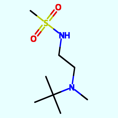 CN(CCNS(C)(=O)=O)C(C)(C)C